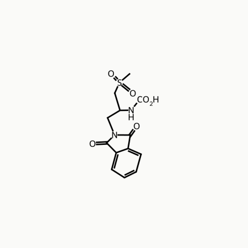 CS(=O)(=O)CC(CN1C(=O)c2ccccc2C1=O)NC(=O)O